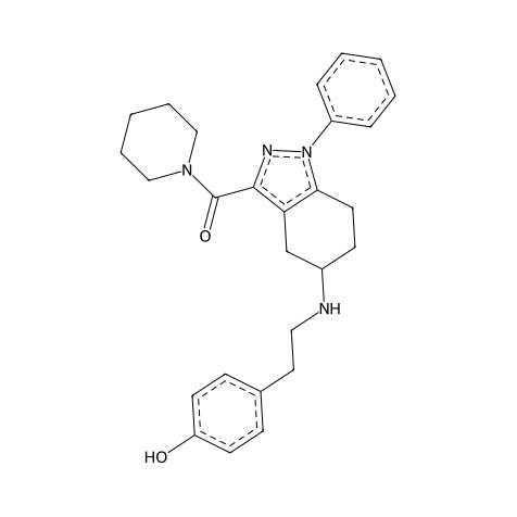 O=C(c1nn(-c2ccccc2)c2c1CC(NCCc1ccc(O)cc1)CC2)N1CCCCC1